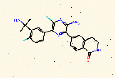 CC(C)(N)c1cc(-c2nc(-c3ccc4c(c3)CCNC4=O)c(N)nc2F)ccc1F